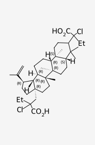 C=C(C)[C@@H]1CC[C@]2(CC(Cl)(CC)C(=O)O)CC[C@]3(C)[C@H](CC[C@@H]4[C@@]5(C)CCC(C(Cl)(CC)C(=O)O)C(C)(C)[C@@H]5CC[C@]43C)[C@@H]12